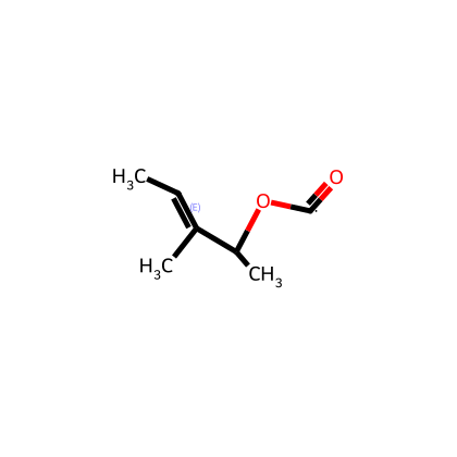 C/C=C(\C)C(C)O[C]=O